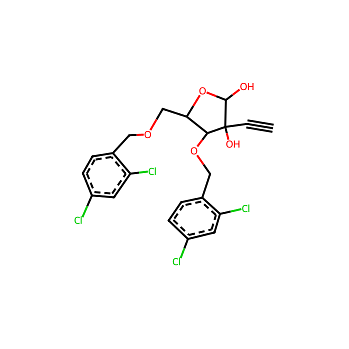 C#CC1(O)C(O)OC(COCc2ccc(Cl)cc2Cl)C1OCc1ccc(Cl)cc1Cl